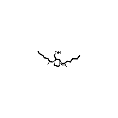 CCCCC[C@@H](C)N1CCN([C@@H](C)CCCCC)C(CO)C1